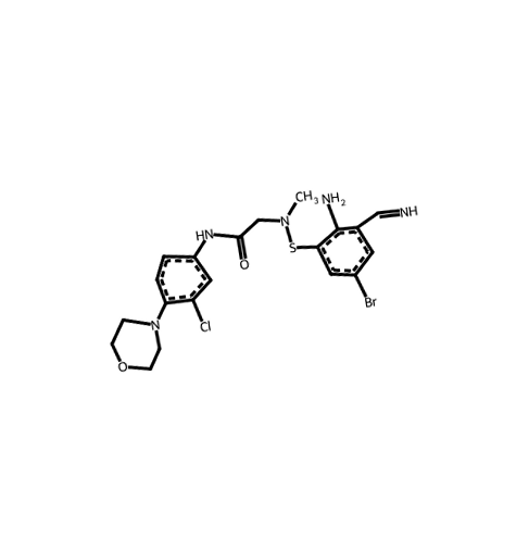 CN(CC(=O)Nc1ccc(N2CCOCC2)c(Cl)c1)Sc1cc(Br)cc(C=N)c1N